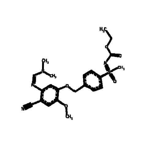 CCOC(=O)N=S(C)(=O)c1ccc(COc2cc(/N=C\N(C)C)c(C#N)cc2OC)cc1